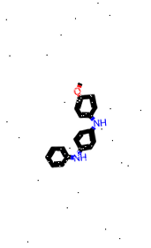 COc1ccc(Nc2ccc(Nc3ccccc3)cc2)cc1